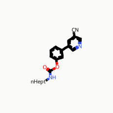 CCCCCCCNC(=O)Oc1cccc(-c2cncc(C#N)c2)c1